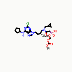 CO[C@@H](CCn1cnc2c(NC3CCCC3)nc(Cl)nc21)CN(CC1CC1)C(=O)CP(=O)(O)OCOC(=O)OC(C)C